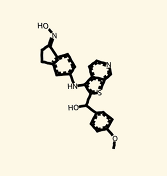 COc1ccc(C(O)c2sc3cnccc3c2Nc2ccc3c(c2)CCC3=NO)cc1